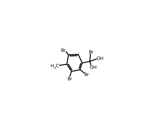 Cc1c(Br)cc(C(O)(O)Br)c(Br)c1Br